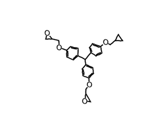 c1cc(C(c2ccc(OCC3CO3)cc2)c2ccc(OCC3CO3)cc2)ccc1OCC1CC1